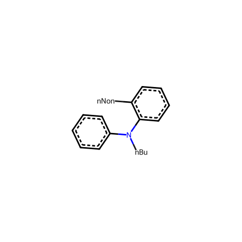 CCCCCCCCCc1ccccc1N(CCCC)c1ccccc1